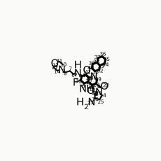 Nc1c(F)c(NCCCN2CCOCC2)c2c3c1c(=O)c(C(=O)N1CCC(N)C1)cn3-c1cc3ccccc3cc1O2